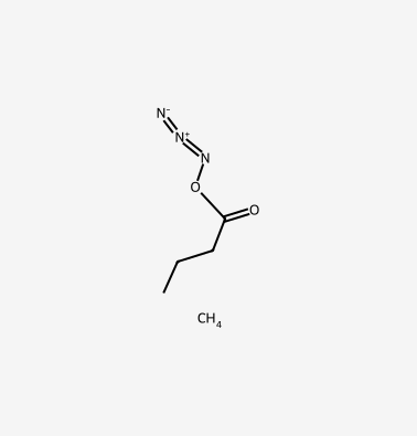 C.CCCC(=O)ON=[N+]=[N-]